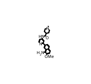 COc1ccc2ccc(-c3cc(NC(=O)C4CCN(C)CC4)ccn3)cc2c1N